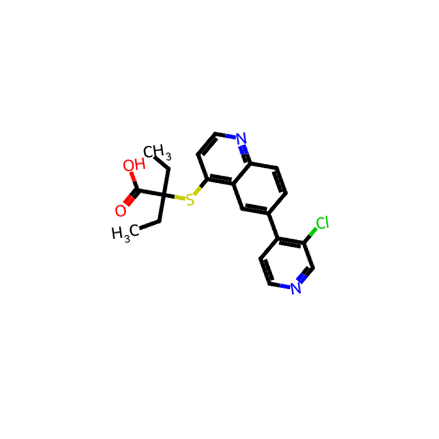 CCC(CC)(Sc1ccnc2ccc(-c3ccncc3Cl)cc12)C(=O)O